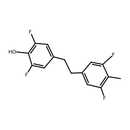 Cc1c(F)cc(CCc2cc(F)c(O)c(F)c2)cc1F